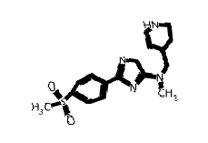 CN(CC1CCNCC1)C1=NC(c2ccc(S(C)(=O)=O)cc2)=NC1